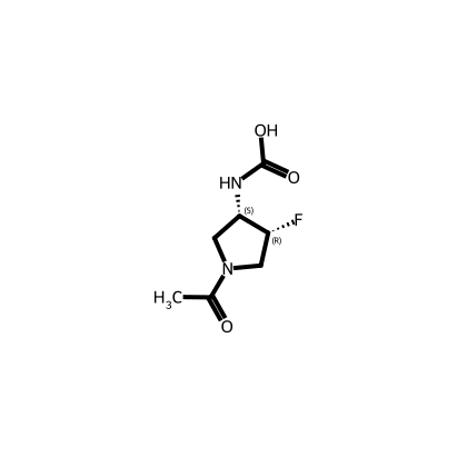 CC(=O)N1C[C@@H](F)[C@@H](NC(=O)O)C1